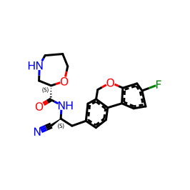 N#C[C@H](Cc1ccc2c(c1)COc1cc(F)ccc1-2)NC(=O)[C@@H]1CNCCCO1